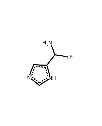 CCCC(N)c1cnc[nH]1